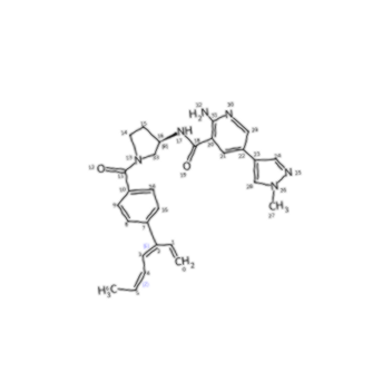 C=C/C(=C\C=C/C)c1ccc(C(=O)N2CC[C@@H](NC(=O)c3cc(-c4cnn(C)c4)cnc3N)C2)cc1